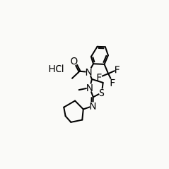 CC(=O)N(c1ccccc1C(F)(F)F)C1CSC(=NC2CCCCC2)N1C.Cl